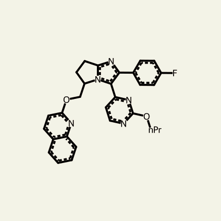 CCCOc1nccc(-c2c(-c3ccc(F)cc3)nc3n2C(COc2ccc4ccccc4n2)CC3)n1